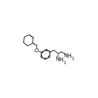 NC[C@@H](N)Cc1cccc(OCC2CCCCC2)c1